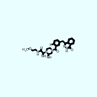 COCCNC(=O)C(=N)N1CCN(C(=O)c2cc(Cc3n[nH]c(=O)c4ccccc34)ccc2F)CC1=N